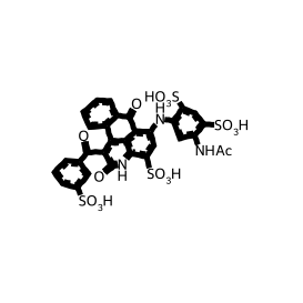 CC(=O)Nc1cc(Nc2cc(S(=O)(=O)O)c3[nH]c(=O)c(C(=O)c4cccc(S(=O)(=O)O)c4)c4c3c2C(=O)c2ccccc2-4)c(S(=O)(=O)O)cc1S(=O)(=O)O